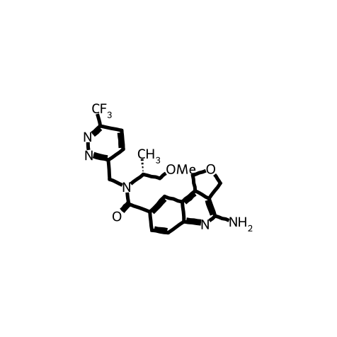 COC[C@@H](C)N(Cc1ccc(C(F)(F)F)nn1)C(=O)c1ccc2nc(N)c3c(c2c1)COC3